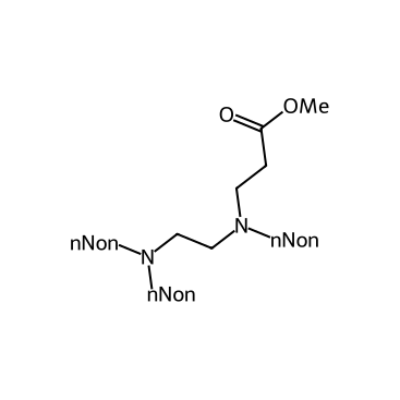 CCCCCCCCCN(CCCCCCCCC)CCN(CCCCCCCCC)CCC(=O)OC